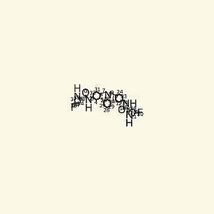 O=C(Nc1ccc(CN(Cc2ccc(NC(=O)[C@@H]3C[C@H](F)CN3)cc2)c2ccccc2)cc1)[C@@H]1C[C@H](F)CN1